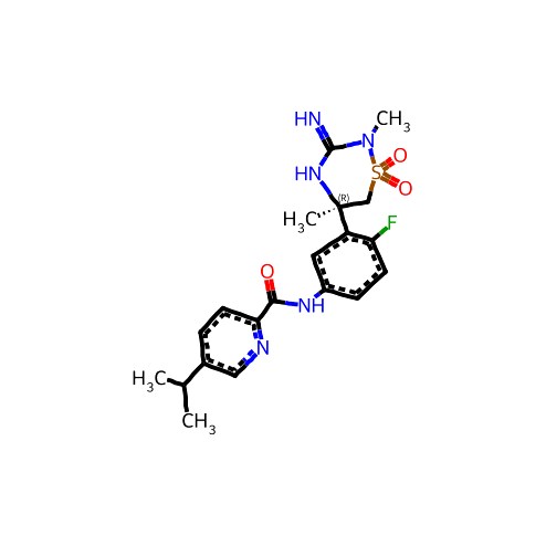 CC(C)c1ccc(C(=O)Nc2ccc(F)c([C@]3(C)CS(=O)(=O)N(C)C(=N)N3)c2)nc1